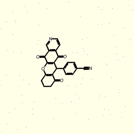 N#Cc1ccc(C2C3=C(CCCC3=O)OC3=C2C(=O)c2ccncc2C3=O)cc1